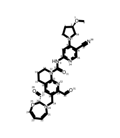 CO[C@@H]1CCN(c2cc(NC(=O)N3CCCc4cc(CN5C=CC=CO[C@@H]5C=O)c(C=O)nc43)ncc2C#N)C1